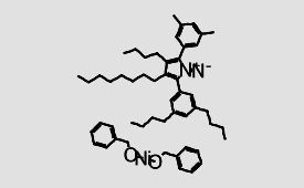 CCCCCCCCC1=C(c2cc(CCCC)cc(CCCC)c2)[N+](=[N-])C(c2cc(C)cc(C)c2)=C1CCCC.c1ccc(C[O][Ni][O]Cc2ccccc2)cc1